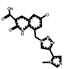 Cn1cncc1-c1cn(Cc2cc(Cl)cc3cc(C(=O)O)c(=O)[nH]c23)nn1